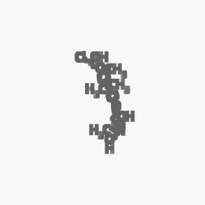 Cc1cc(C(C)(C)c2ccc(OC[C@@H](O)Cn3nnc(CO)c3C)cc2)ccc1OC[C@@H](O)CCl